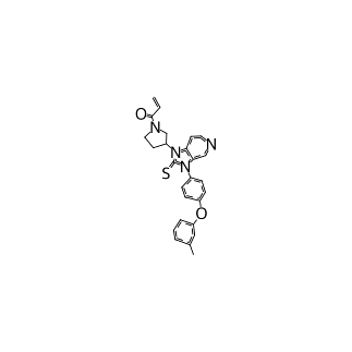 C=CC(=O)N1CCC(n2c(=S)n(-c3ccc(Oc4cccc(C)c4)cc3)c3cnccc32)C1